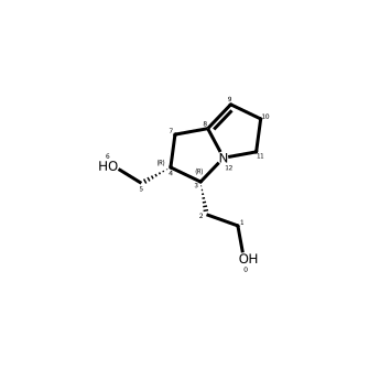 OCC[C@@H]1[C@H](CO)CC2=CCCN21